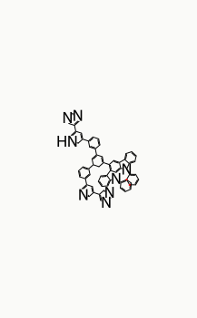 C1=CCCC(n2c3ccccc3c3cc(C4=CC(c5cccc(C6=CC(c7cncnc7)=CNC6)c5)=CC(c5cccc(-c6cncc(-c7cncnc7)c6)c5)C4)c4c5ccccc5n(-c5ccccc5)c4c32)=C1